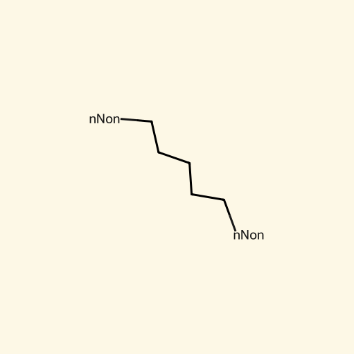 [CH2]CCC[CH]CCCCCCCCCCCCCCCCCC